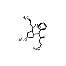 C=CCN(C)C1CC(OC)CC1N(C(=O)CCOC)c1ccccc1